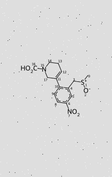 C[S+]([O-])Cc1cc([N+](=O)[O-])ccc1C1=CCCN(C(=O)O)C1